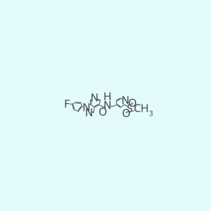 CCS(=O)(=O)c1cc(CNC(=O)c2cncc3c2cnn3-c2ccc(F)cc2)ccn1